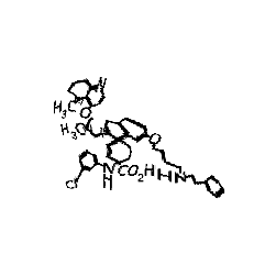 C[C@@H](COc1ccnc2c1[C@H](C)CCC2)C[C@H]1Cc2ccc(OCCCCNCCc3ccccc3)cc2C12CCC(Nc1cccc(Cl)c1)(C(=O)O)CC2